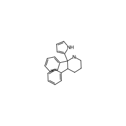 c1ccc(C2CCC[N]C2(c2ccccc2)c2ccc[nH]2)cc1